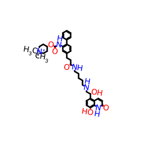 C[N+]1(C)CCC(OC(=O)Nc2cc(CCC(=O)NCCCCCNC[C@@H](O)c3ccc(O)c4[nH]c(=O)ccc34)ccc2-c2ccccc2)CC1